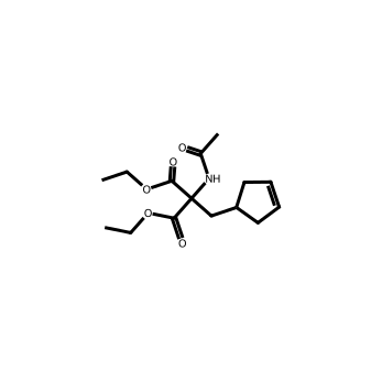 CCOC(=O)C(CC1CC=CC1)(NC(C)=O)C(=O)OCC